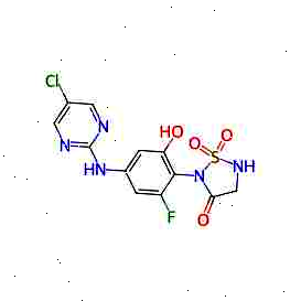 O=C1CNS(=O)(=O)N1c1c(O)cc(Nc2ncc(Cl)cn2)cc1F